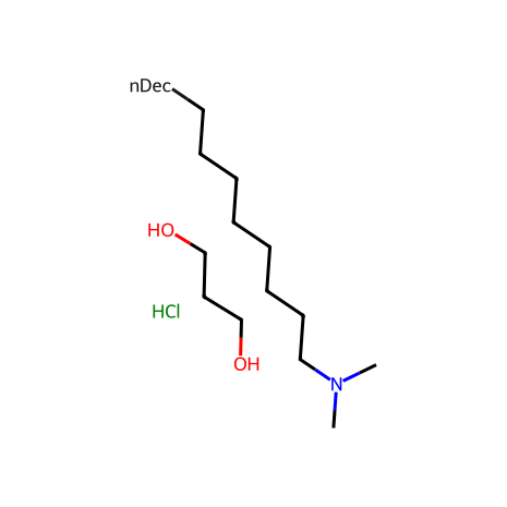 CCCCCCCCCCCCCCCCCCN(C)C.Cl.OCCCO